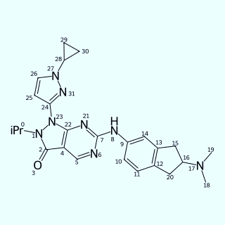 CC(C)n1c(=O)c2cnc(Nc3ccc4c(c3)CC(N(C)C)C4)nc2n1-c1ccn(C2CC2)n1